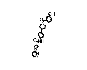 O=C(Nc1ccc(C2CCN(C(=O)c3cccc(O)c3)CC2)cc1)C1CN(c2cccnn2)C1